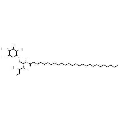 CCCCCCCCCCCCCCCCCCCCCCCCCC(=O)NC(COC1CC(O)C(O)C(O)C1O)C(O)C(O)CC